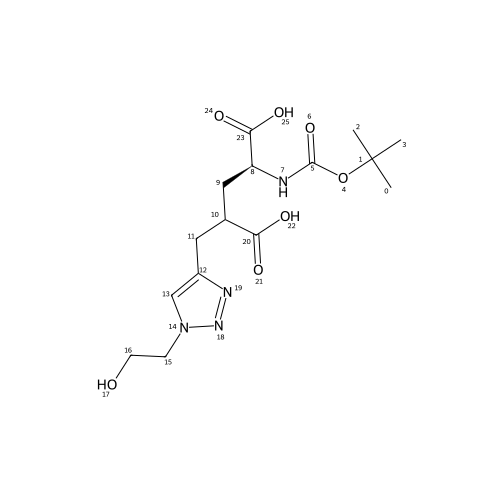 CC(C)(C)OC(=O)N[C@@H](CC(Cc1cn(CCO)nn1)C(=O)O)C(=O)O